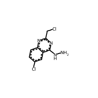 NNc1nc(CCl)nc2ccc(Cl)cc12